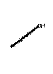 OCCCCCCCCCCCCCCCCCCCCCCCCCCCCCCCCCCI